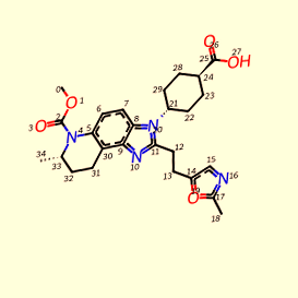 COC(=O)N1c2ccc3c(nc(CCc4cnc(C)o4)n3[C@H]3CC[C@H](C(=O)O)CC3)c2CC[C@@H]1C